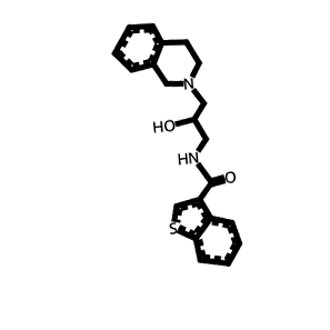 O=C(NCC(O)CN1CCc2ccccc2C1)c1csc2ccccc12